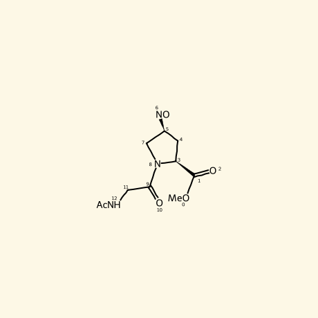 COC(=O)[C@@H]1C[C@H](N=O)CN1C(=O)CNC(C)=O